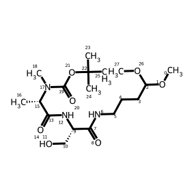 COC(CCCNC(=O)[C@H](CO)NC(=O)[C@H](C)N(C)C(=O)OC(C)(C)C)OC